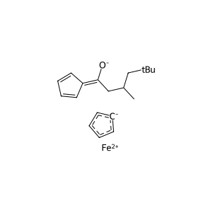 CC(CC([O-])=C1C=CC=C1)CC(C)(C)C.[Fe+2].c1cc[cH-]c1